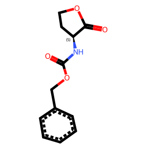 O=C(N[C@H]1CCOC1=O)OCc1ccccc1